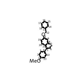 COc1ccc(-c2csc3cc(OCc4ccccc4)ccc23)cc1